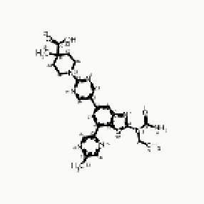 CCN(C(N)=O)c1nc2cc(-c3cnc(N4CCC(C)(C(=O)O)CC4)nc3)cc(-c3cnc(C)cn3)c2s1